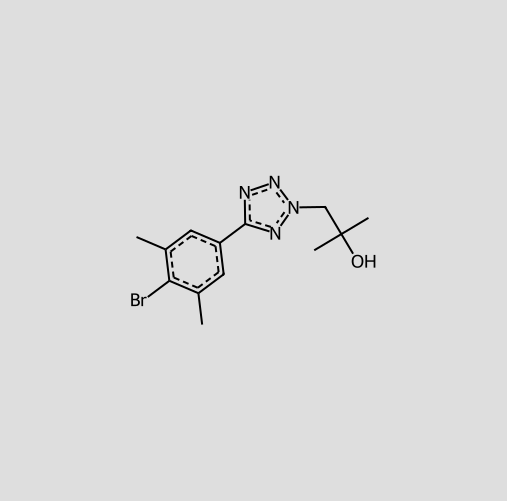 Cc1cc(-c2nnn(CC(C)(C)O)n2)cc(C)c1Br